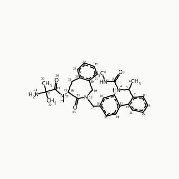 CNC(=O)NC(C)c1ccccc1-c1ccc(CN2Cc3ccccc3C[C@@H](NC(=O)C(C)(C)N)C2=O)cc1